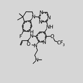 C=CC(=O)Nc1cc(Nc2ncnc(N3CCC(C)(C)c4cc(F)ccc43)n2)c(OCC(F)(F)F)nc1N(C)CCN(C)C